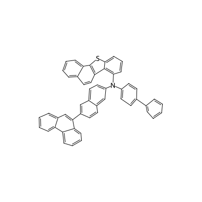 c1ccc(-c2ccc(N(c3ccc4cc(-c5cc6ccccc6c6ccccc56)ccc4c3)c3cccc4sc5c6ccccc6ccc5c34)cc2)cc1